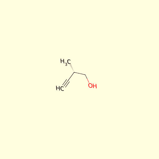 C#C[C@H](C)CO